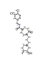 O=C(/C=C/c1ccc(Cl)c(Cl)c1)N1CCC(=O)N(CCCN2CCC(F)C(O)C2)CC1